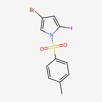 Cc1ccc(S(=O)(=O)n2cc(Br)cc2I)cc1